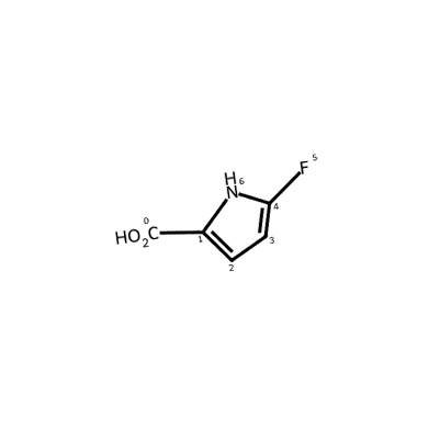 O=C(O)c1ccc(F)[nH]1